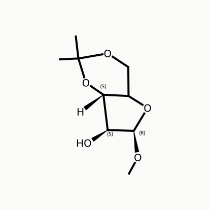 CO[C@@H]1OC2COC(C)(C)O[C@H]2[C@@H]1O